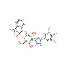 CC(C)(O)C(S[C@@H]1O[C@H](CO)[C@H](O)[C@H](n2cc(-c3cc(F)c(F)c(F)c3)nn2)[C@H]1O)c1ccccc1C1CC1